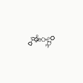 O=C([C@@H]1CC(F)(F)CC[C@H]1c1ccccc1)N1CCC(O)(Cn2cnc3c(-c4ccccc4)scc3c2=O)CC1